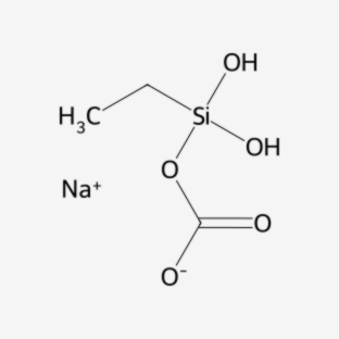 CC[Si](O)(O)OC(=O)[O-].[Na+]